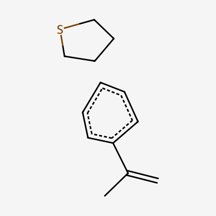 C1CCSC1.C=C(C)c1ccccc1